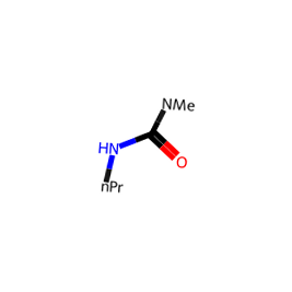 CCCNC(=O)NC